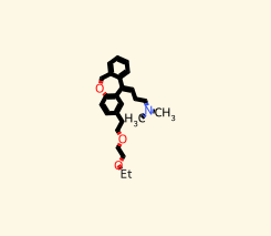 CCOCCOCCc1ccc2c(c1)/C(=C\CCN(C)C)c1ccccc1CO2